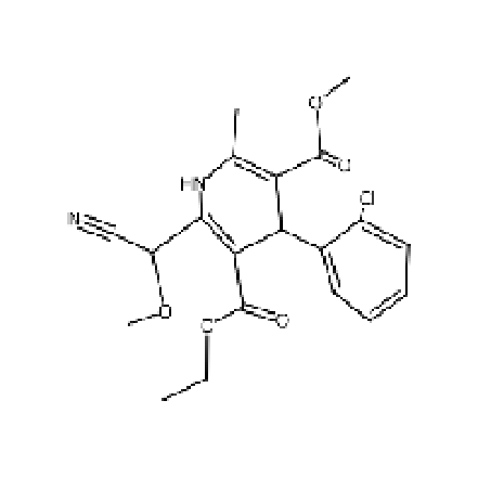 CCOC(=O)C1=C(C(C#N)OC)NC(C)=C(C(=O)OC)C1c1ccccc1Cl